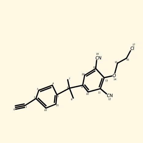 C#Cc1ccc(C(C)(C)c2cc(C#N)c(OCCCl)c(C#N)c2)cc1